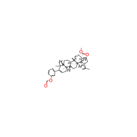 C=C(C)[C@@H]1CC[C@]2(C(=O)OC)CC[C@]3(C)[C@H](CC[C@@H]4[C@@]5(C)CC=C(c6cccc(OC=O)c6)C(C)(C)[C@@H]5CC[C@]43C)[C@@H]12